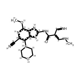 CN/C=C(\C=N)C(=O)Nc1nc2c(OC)nc(C#N)c(N3CCOCC3)c2s1